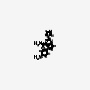 NC(=O)c1nc(-n2ccnc2)nc2ccn(C3CCC(N)CC3)c12